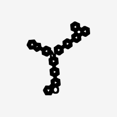 C1=C(c2ccc(N(c3ccc(-c4ccc(-c5ccc6oc7ccccc7c6c5)cc4)cc3)c3ccc(-c4ccc(-c5ccc6c7ccccc7c7ccccc7c6c5)cc4)cc3)cc2)Cc2ccccc21